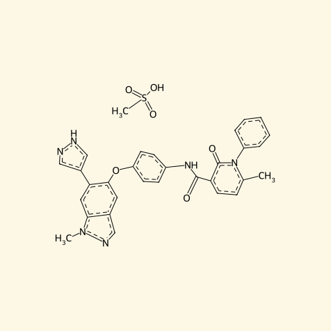 CS(=O)(=O)O.Cc1ccc(C(=O)Nc2ccc(Oc3cc4cnn(C)c4cc3-c3cn[nH]c3)cc2)c(=O)n1-c1ccccc1